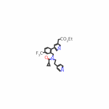 CCOC(=O)Cc1cncc(-c2ccc(C(F)(F)F)cc2CN(CCc2ccncc2)C(=O)C2CC2)c1